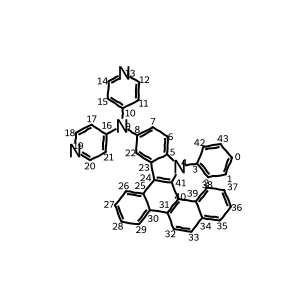 c1ccc(-n2c3ccc(N(c4ccncc4)c4ccncc4)cc3c3c4ccccc4c4ccc5ccccc5c4c32)cc1